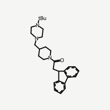 CC(C)(C)N1CCN(CC2CCN(C(=O)CC3c4ccccc4-c4ccccc43)CC2)CC1